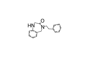 O=C1CNc2ccccc2CN1CCc1ccccc1